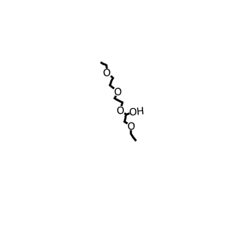 CCOCCOCCOC(O)COCC